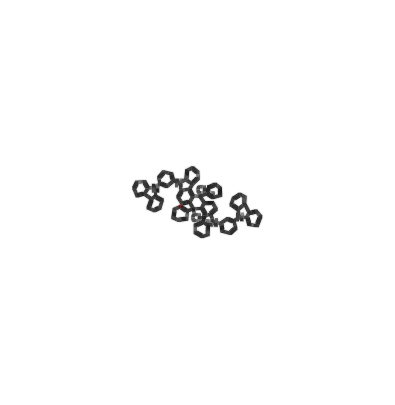 CC1(c2ccccc2)c2ccc3c(c2C(C)(c2ccccc2)c2ccc4c(c21)c1ccccc1n4-c1cccc(-n2c4ccccc4c4ccccc42)c1)c1ccccc1n3-c1cccc(-n2c3ccccc3c3ccccc32)c1